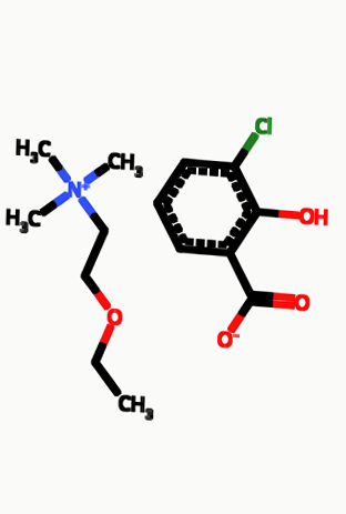 CCOCC[N+](C)(C)C.O=C([O-])c1cccc(Cl)c1O